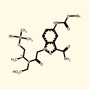 C[C@@H](CO[Si](C)(C)C(C)(C)C)N(CC(=O)O)C(=O)Cn1nc(C(N)=O)c2cc(NC(=O)OC(C)(C)C)ccc21